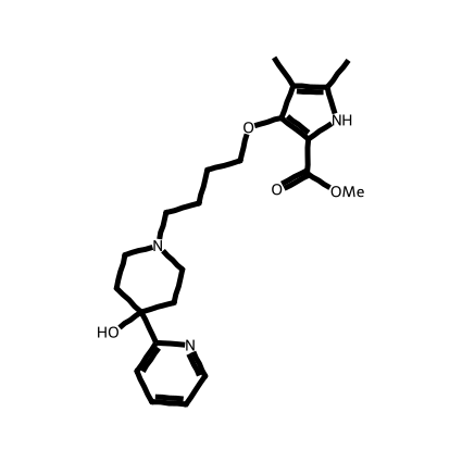 COC(=O)c1[nH]c(C)c(C)c1OCCCCN1CCC(O)(c2ccccn2)CC1